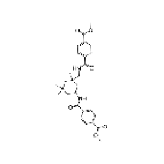 COC(=O)c1ccc(C(=O)NCC2(C)CC(NC(=O)c3ccc(C(=O)OC)cc3)CC(C)(C)C2)cc1